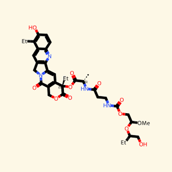 CCc1c(O)ccc2nc3c(cc12)Cn1c-3cc2c(c1=O)COC(=O)[C@@]2(CC)OC(=O)[C@H](C)NC(=O)CCNC(=O)OCC(OC)OC(CC)CO